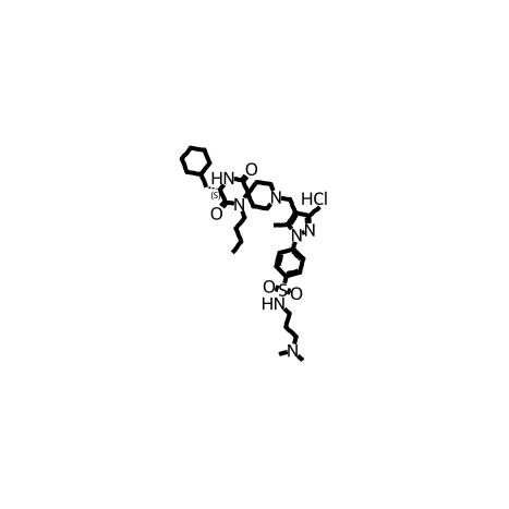 CCCCN1C(=O)[C@H](CC2CCCCC2)NC(=O)C12CCN(Cc1c(C)nn(-c3ccc(S(=O)(=O)NCCCN(C)C)cc3)c1C)CC2.Cl